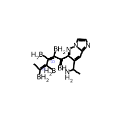 B=C(/C(B)=C(B)\C(B)=C(\B)C)c1nn2ccnc2cc1C(C)N